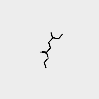 CCOC(=O)CCC(C)CI